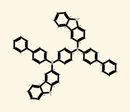 c1ccc(-c2ccc(N(c3ccc(N(c4ccc(-c5ccccc5)cc4)c4ccc5oc6ccccc6c5c4)cc3)c3ccc4oc5ccccc5c4c3)cc2)cc1